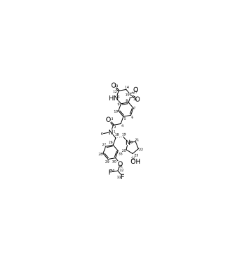 CN(C(=O)Cc1ccc2c(c1)NC(=O)CS2(=O)=O)[C@H](CN1CC[C@H](O)C1)c1cccc(OC(F)F)c1